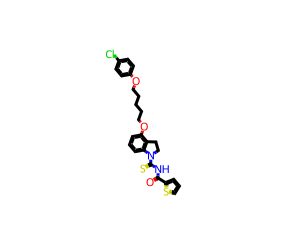 O=C(NC(=S)N1CCc2c(OCCCCCOc3ccc(Cl)cc3)cccc21)c1cccs1